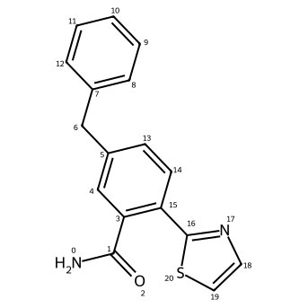 NC(=O)c1cc(Cc2ccccc2)ccc1-c1nccs1